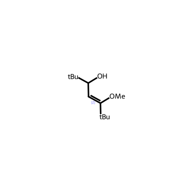 CO/C(=C\C(O)C(C)(C)C)C(C)(C)C